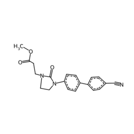 COC(=O)CCN1CCN(c2ccc(-c3ccc(C#N)cc3)cc2)C1=O